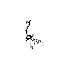 Cc1cc(OC/C=C\C=C/C(C)F)cc(F)c1NCN